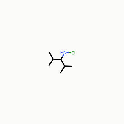 CC(C)C(NCl)C(C)C